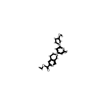 CCOC(=O)c1cc2c(cn1)CN(c1cc(F)nc(N3CCC(OC)C3)c1)CC2